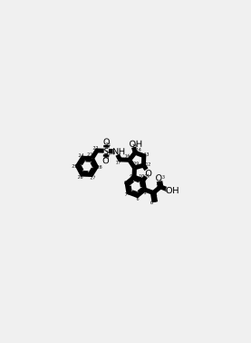 C=C(C(=O)O)c1cccc2c1OC1CC(O)C(CNS(=O)(=O)Cc3ccccc3)C21